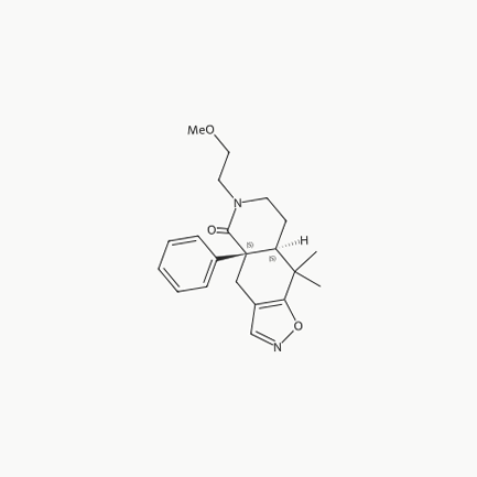 COCCN1CC[C@H]2C(C)(C)c3oncc3C[C@]2(c2ccccc2)C1=O